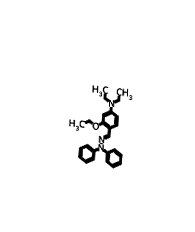 CCOc1cc(N(CC)CC)ccc1C=NN(c1ccccc1)c1ccccc1